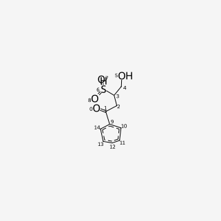 O=C(CC(CO)[SH](=O)=O)c1ccccc1